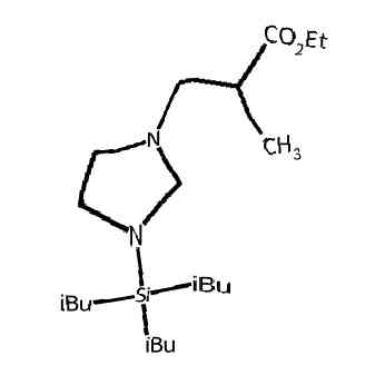 CCOC(=O)C(C)CN1CCN([Si](C(C)CC)(C(C)CC)C(C)CC)C1